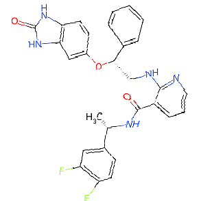 C[C@H](NC(=O)c1cccnc1NC[C@H](Oc1ccc2[nH]c(=O)[nH]c2c1)c1ccccc1)c1ccc(F)c(F)c1